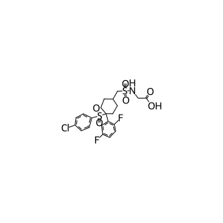 O=C(O)CNS(=O)(=O)CC1CCC(c2cc(F)ccc2F)(S(=O)(=O)c2ccc(Cl)cc2)CC1